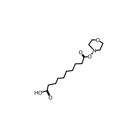 O=C(O)CCCCCCCCC(=O)ON1CCOCC1